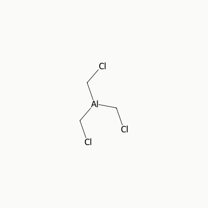 Cl[CH2][Al]([CH2]Cl)[CH2]Cl